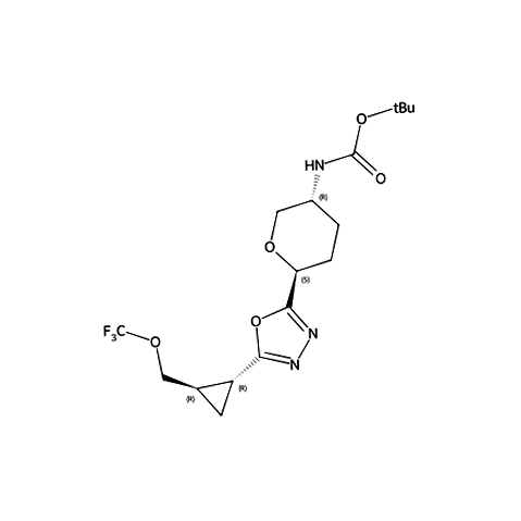 CC(C)(C)OC(=O)N[C@@H]1CC[C@@H](c2nnc([C@@H]3C[C@H]3COC(F)(F)F)o2)OC1